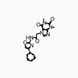 Cn1c(=O)c2c(ncn2CC(=O)Nc2nc(-c3ccccc3)co2)n(C)c1=O